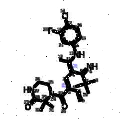 C=C/C(=C\C(C(=N)C(C)(C)C)=C(/C)Nc1ccc(Cl)c(F)c1)C(=O)N1CCNC(=O)C1(C)C